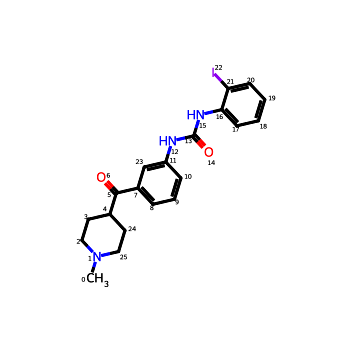 CN1CCC(C(=O)c2cccc(NC(=O)Nc3ccccc3I)c2)CC1